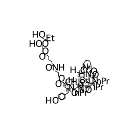 CCCO[C@H](C[C@H](C(C)C)N(CCC)C(=O)[C@@H](NC(=O)[C@H]1CCCCN1C)[C@@H](C)CC)c1nc(C(=O)N[C@@H](Cc2ccc(O)cc2)C[C@H](C)C(=O)OCCCNC(=O)CCCC(=O)OCC(O)OC(CC)CO)cs1